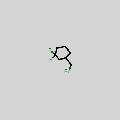 FC1(F)CCCC(CBr)C1